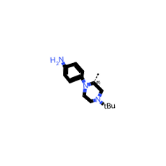 C[C@@H]1CN(C(C)(C)C)CCN1c1ccc(N)cc1